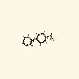 N=Cc1ccc(-[n+]2ccccc2)cc1